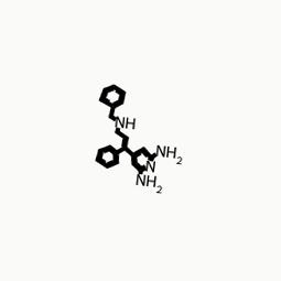 Nc1cc(C(=CCNCc2ccccc2)c2ccccc2)cc(N)n1